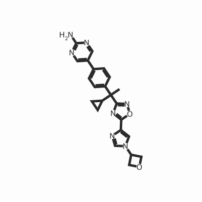 CC(c1ccc(-c2cnc(N)nc2)cc1)(c1noc(-c2cn(C3COC3)cn2)n1)C1CC1